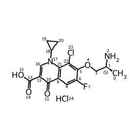 C[C@H](N)COc1c(F)cc2c(=O)c(C(=O)O)cn(C3CC3)c2c1Cl.Cl